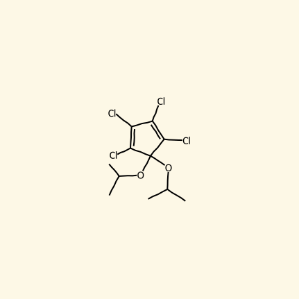 CC(C)OC1(OC(C)C)C(Cl)=C(Cl)C(Cl)=C1Cl